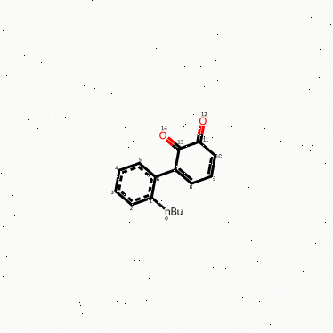 CCCCc1ccccc1C1=CC=CC(=O)C1=O